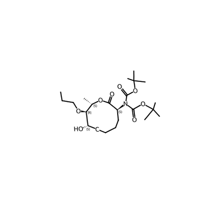 CCCO[C@H]1[C@H](C)OC(=O)[C@@H](N(C(=O)OC(C)(C)C)C(=O)OC(C)(C)C)CCCC[C@@H]1O